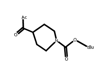 CC(=O)C(=O)C1CCN(C(=O)OC(C)(C)C)CC1